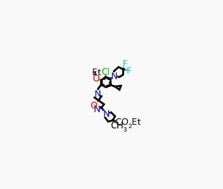 CCOC(=O)C1(C)CCN(C2=NOC3(C2)CN(Cc2cc(C4CC4)c(N4CCC(F)(F)CC4)c(Cl)c2OCC)C3)CC1